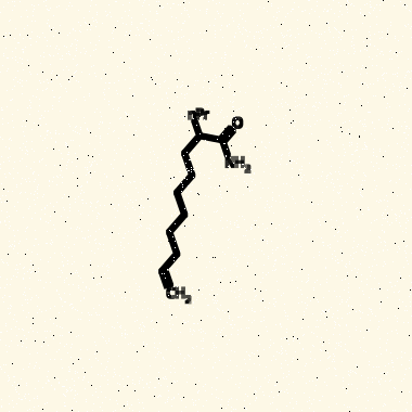 C=CCCCCCCC(CCC)C(N)=O